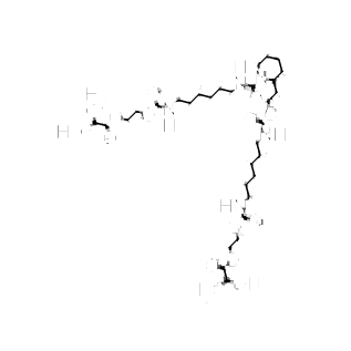 C=C(C)C(=O)OCCOC(=O)NCCCCCCNC(=O)N1CCCCC1CCOC(=O)NCCCCCCNC(=O)OCCOC(=O)C(=C)O